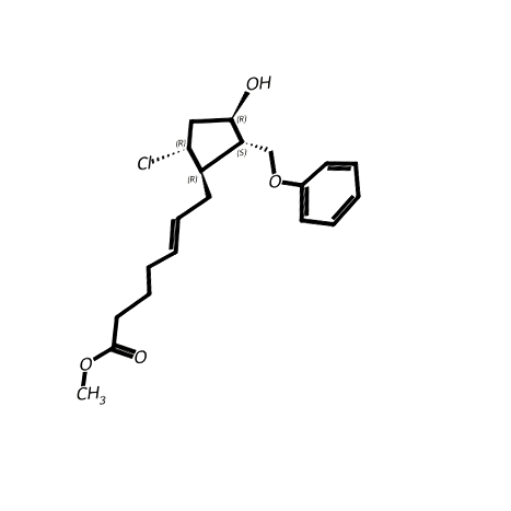 COC(=O)CCCC=CC[C@@H]1[C@@H](COc2ccccc2)[C@H](O)C[C@H]1Cl